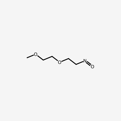 COCCOCCN=O